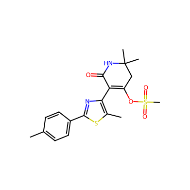 Cc1ccc(-c2nc(C3=C(OS(C)(=O)=O)CC(C)(C)NC3=O)c(C)s2)cc1